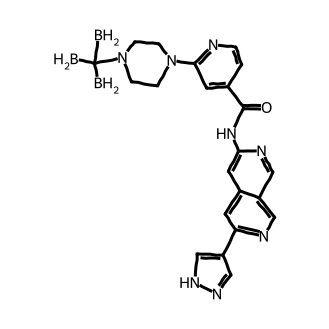 BC(B)(B)N1CCN(c2cc(C(=O)Nc3cc4cc(-c5cn[nH]c5)ncc4cn3)ccn2)CC1